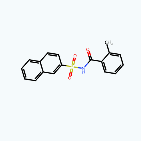 Cc1ccccc1C(=O)NS(=O)(=O)c1ccc2ccccc2c1